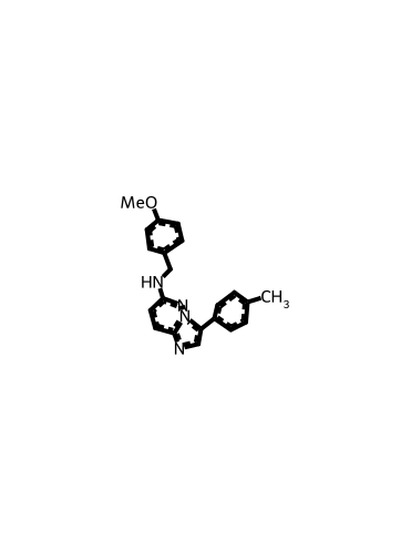 COc1ccc(CNc2ccc3ncc(-c4ccc(C)cc4)n3n2)cc1